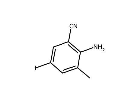 Cc1cc(I)cc(C#N)c1N